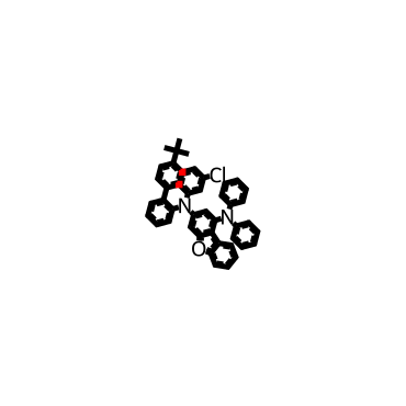 CC(C)(C)c1ccc(-c2ccccc2N(c2cccc(Cl)c2)c2cc(N(c3ccccc3)c3ccccc3)c3c(c2)oc2ccccc23)cc1